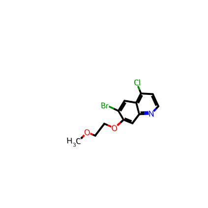 COCCOc1cc2nccc(Cl)c2cc1Br